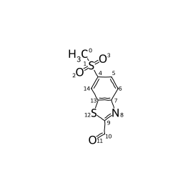 CS(=O)(=O)c1ccc2nc(C=O)sc2c1